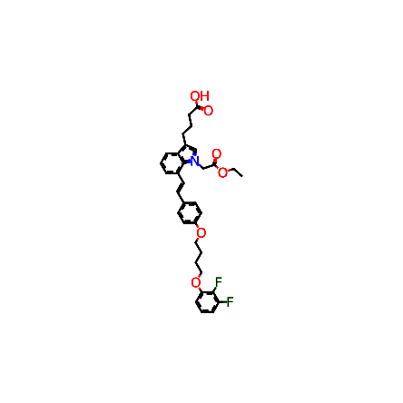 CCOC(=O)Cn1cc(CCCC(=O)O)c2cccc(/C=C/c3ccc(OCCCCOc4cccc(F)c4F)cc3)c21